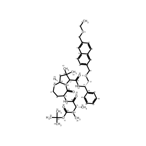 CCOCc1ccc2cc(COC[C@@H](NC(=O)C3N4C(=O)[C@@H](NC(=O)[C@H](C)N(C)C(=O)OC(C)(C)C)CCS[C@H]4CC3(C)C)c3ccccc3)ccc2c1